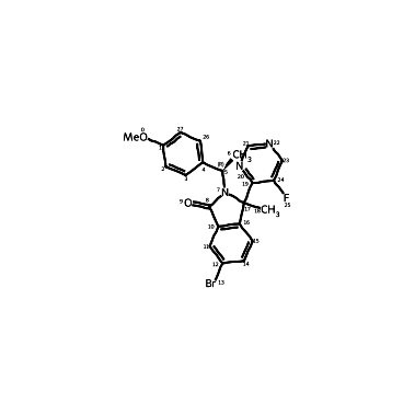 COc1ccc([C@@H](C)N2C(=O)c3cc(Br)ccc3C2(C)c2ncncc2F)cc1